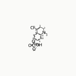 CN1CC=C(Cl)c2ccccc21.[O-][Cl+3]([O-])([O-])O